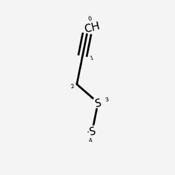 C#CCS[S]